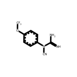 N#CN(C(=N)N)c1ccc(OC(F)(F)F)cc1